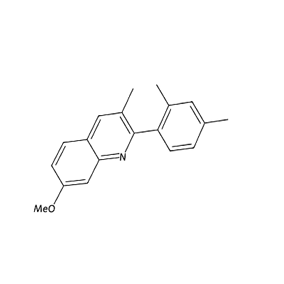 COc1ccc2cc(C)c(-c3ccc(C)cc3C)nc2c1